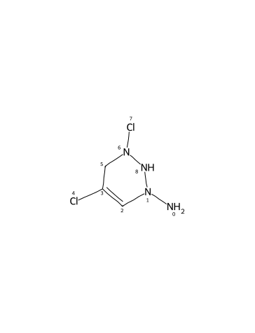 NN1C=C(Cl)CN(Cl)N1